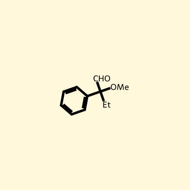 CCC(C=O)(OC)c1ccccc1